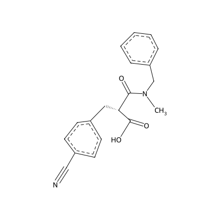 CN(Cc1ccccc1)C(=O)[C@@H](Cc1ccc(C#N)cc1)C(=O)O